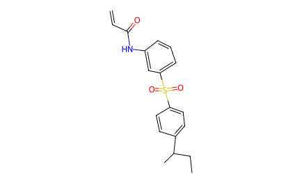 C=CC(=O)Nc1cccc(S(=O)(=O)c2ccc(C(C)CC)cc2)c1